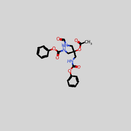 CC(=O)OC(CNC=O)(CNC(=O)Oc1ccccc1)CNC(=O)Oc1ccccc1